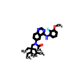 CCC(C)C(CC)(CC(C)C)CN(C(C)=O)c1ccc2ncnc(Nc3cccc(OC)c3F)c2c1